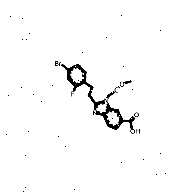 COCCn1c(CCc2ccc(Br)cc2F)nc2ccc(C(=O)O)cc21